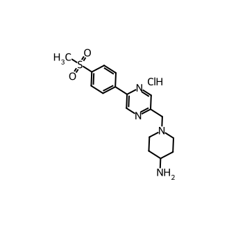 CS(=O)(=O)c1ccc(-c2cnc(CN3CCC(N)CC3)cn2)cc1.Cl